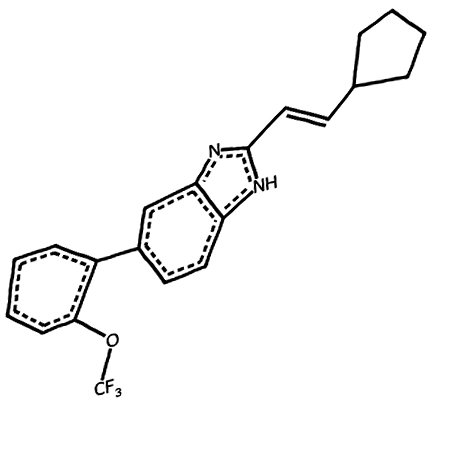 FC(F)(F)Oc1ccccc1-c1ccc2[nH]c(C=CC3CCCC3)nc2c1